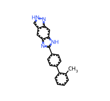 Cc1ccccc1-c1ccc(-c2nc3cc4c[nH]nc4cc3[nH]2)cc1